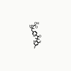 CC(C)(Cc1ccc(C(=O)C(C)(C)c2ncc(F)cc2F)nc1)NC(=O)O